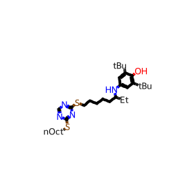 CCCCCCCCSc1ncnc(SCCCCCC(CC)Nc2cc(C(C)(C)C)c(O)c(C(C)(C)C)c2)n1